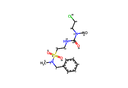 CN(Cc1ccccc1)S(=O)(=O)CCNC(=O)N(CCCl)N=O